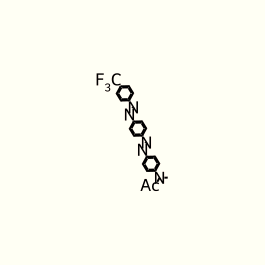 CC(=O)N(C)c1ccc(N=Nc2ccc(N=Nc3ccc(C(F)(F)F)cc3)cc2)cc1